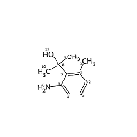 Cc1cccc(N)c1C(C)(C)O